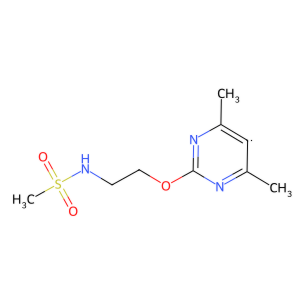 Cc1[c]c(C)nc(OCCNS(C)(=O)=O)n1